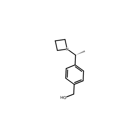 C[C@H](c1ccc(CO)cc1)N1CCC1